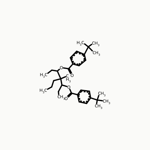 CCCC(C)(C(CC)OC(=O)c1ccc(C(C)(C)C)cc1)C(CC)OC(=O)c1ccc(C(C)(C)C)cc1